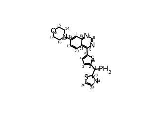 PC(c1ccc(-c2ncnc3cc(N4CCOCC4)ccc23)s1)c1nccs1